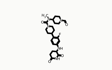 CN(C(=O)N1CCC(c2ccc(NC3CCC(=O)NC3=O)cc2F)CC1)C1CCN(C=O)CC1